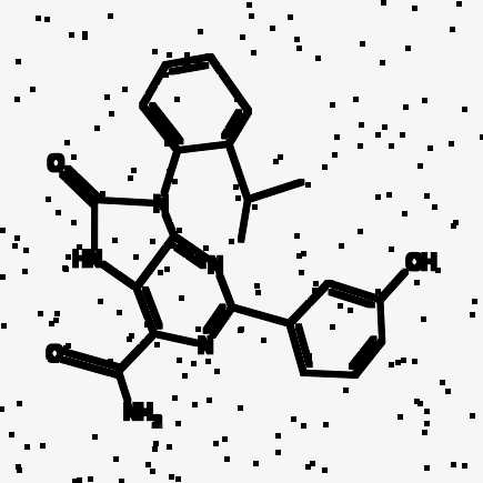 CC(C)c1ccccc1-n1c(=O)[nH]c2c(C(N)=O)nc(-c3cccc(O)c3)nc21